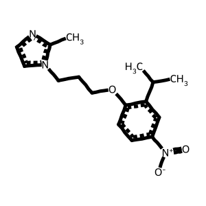 Cc1nccn1CCCOc1ccc([N+](=O)[O-])cc1C(C)C